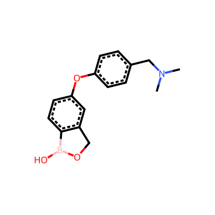 CN(C)Cc1ccc(Oc2ccc3c(c2)COB3O)cc1